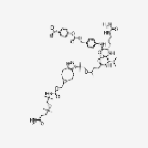 CNC(=O)CCC(C)(C)OCC(C)(C)NC(=O)OCC1C2CCc3nnn(C(C)(C)COC(C)CCC(=O)NC(C(=O)N[C@@H](CCCNC(N)=O)C(=O)Nc4ccc(COC(=O)Oc5ccc([N+](=O)[O-])cc5)cc4)C(C)C)c3CCC21